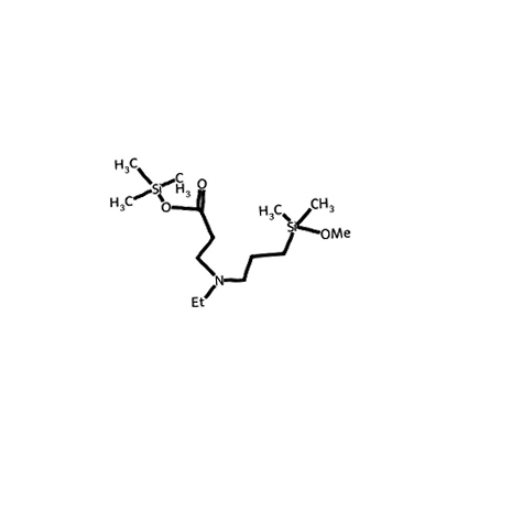 CCN(CCC[Si](C)(C)OC)CCC(=O)O[Si](C)(C)C